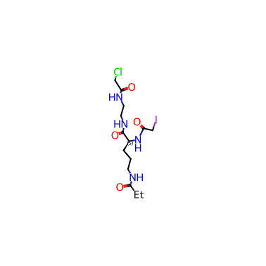 CCC(=O)NCCC[C@H](NC(=O)CI)C(=O)NCCNC(=O)CCl